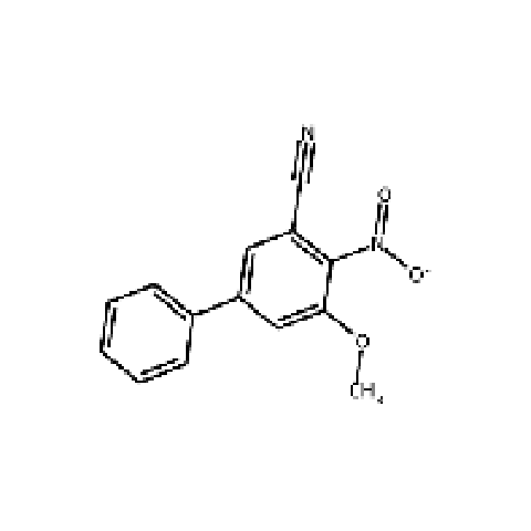 COc1cc(-c2ccccc2)cc(C#N)c1[N+](=O)[O-]